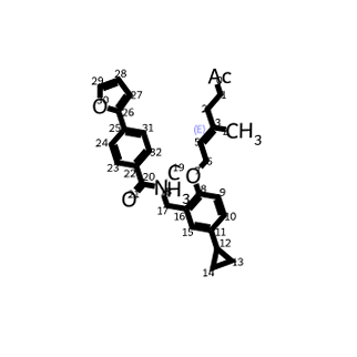 CC(=O)CC/C(C)=C/COc1ccc(C2CC2)cc1CN(C)C(=O)c1ccc(-c2ccco2)cc1